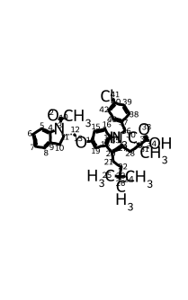 CC(=O)N1c2ccccc2C[C@H]1COc1ccc2c(c1)c(CCC(C)(C)C)c(CC(C)(C)C(=O)O)n2Cc1ccc(Cl)cc1